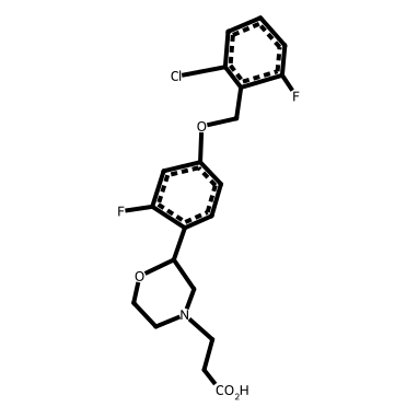 O=C(O)CCN1CCOC(c2ccc(OCc3c(F)cccc3Cl)cc2F)C1